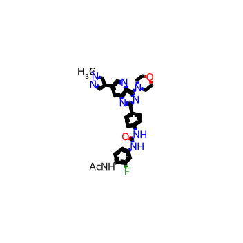 CC(=O)Nc1ccc(NC(=O)Nc2ccc(-c3nc(N4CCOCC4)c4ncc(C5C=NN(C)C5)cc4n3)cc2)cc1F